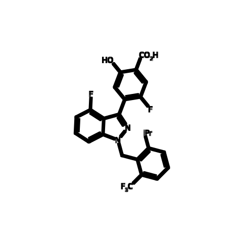 CC(C)c1cccc(C(F)(F)F)c1Cn1nc(-c2cc(O)c(C(=O)O)cc2F)c2c(F)cccc21